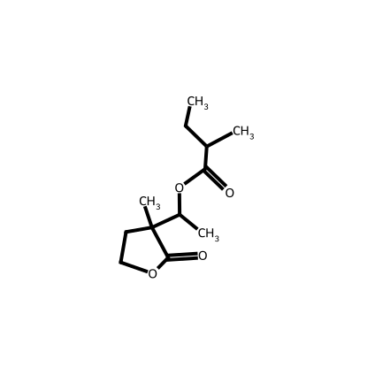 CCC(C)C(=O)OC(C)C1(C)CCOC1=O